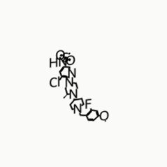 COc1ccc(CN2CCC(N3CCN(c4ncc(NS(C)(=O)=O)cc4Cl)C[C@@H]3C)CC2)c(F)c1